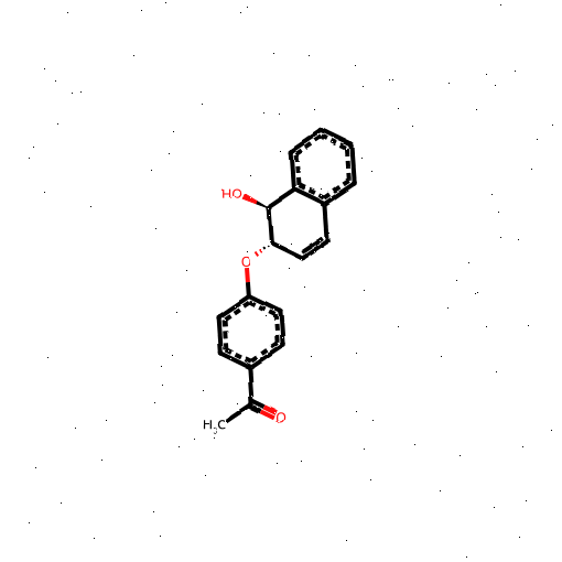 CC(=O)c1ccc(O[C@H]2C=Cc3ccccc3[C@@H]2O)cc1